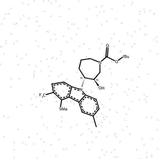 CSc1c(C(F)(F)F)ccc2c1c1cc(C)ccc1n2[C@@H]1CCCN(C(=O)OC(C)(C)C)C[C@H]1O